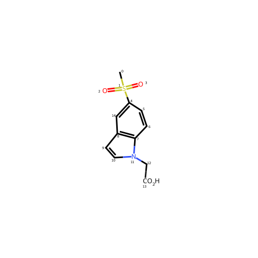 CS(=O)(=O)c1ccc2c(ccn2CC(=O)O)c1